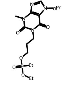 CCCn1cnc2c1c(=O)n(CCCOP(=O)(CC)OCC)c(=O)n2C